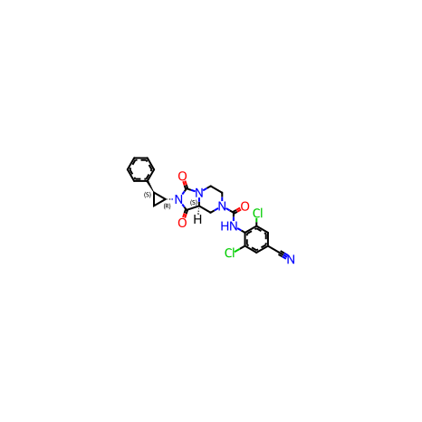 N#Cc1cc(Cl)c(NC(=O)N2CCN3C(=O)N([C@@H]4C[C@H]4c4ccccc4)C(=O)[C@@H]3C2)c(Cl)c1